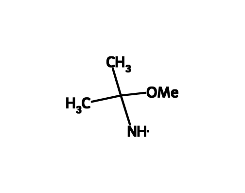 COC(C)(C)[NH]